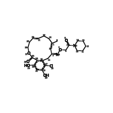 C/C1=C\C(=N/OCC(=O)N2CCCCC2)Cc2c(Cl)c(O)cc(O)c2C(=O)OCC/C=C/CC1